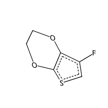 Fc1csc2c1OCCO2